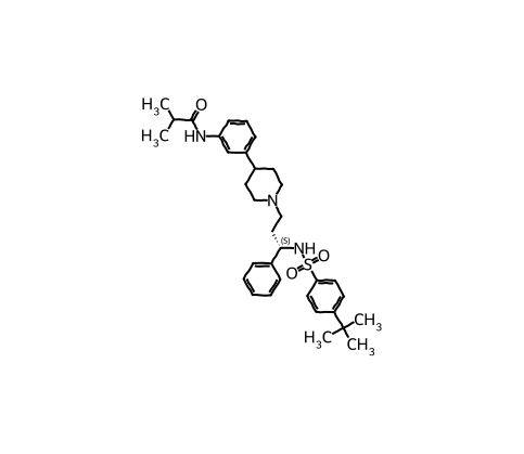 CC(C)C(=O)Nc1cccc(C2CCN(CC[C@H](NS(=O)(=O)c3ccc(C(C)(C)C)cc3)c3ccccc3)CC2)c1